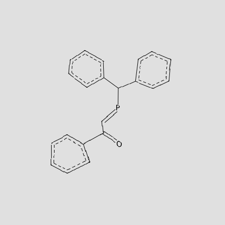 O=C(/C=P/C(c1ccccc1)c1ccccc1)c1ccccc1